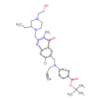 C#CCN(Cc1cc2c(=O)n(C)c(CN3CCN(CCO)CC3CC)nc2cc1Cl)c1ccc(C(=O)OC(C)(C)C)cc1